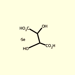 O=C(O)C(O)C(O)C(=O)O.[Se]